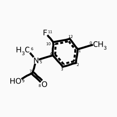 Cc1ccc(N(C)C(=O)O)c(F)c1